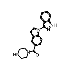 O=C(c1ccc2c(ccn2-c2n[nH]c3ccccc23)c1)N1CCNCC1